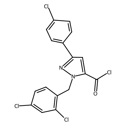 O=C(Cl)c1cc(-c2ccc(Cl)cc2)nn1Cc1ccc(Cl)cc1Cl